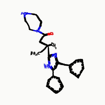 CC(C)(CC(=O)N1CCNCC1)c1nc(-c2ccccc2)c(-c2ccccc2)[nH]1